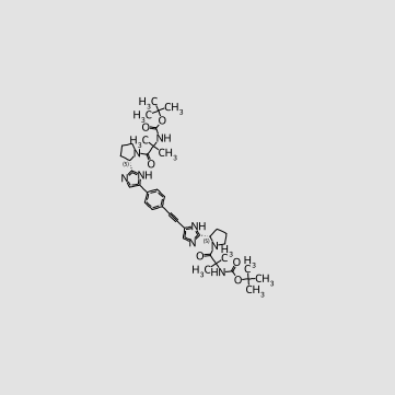 CC(C)(C)OC(=O)NC(C)(C)C(=O)N1CCC[C@H]1c1ncc(C#Cc2ccc(-c3cnc([C@@H]4CCCN4C(=O)C(C)(C)NC(=O)OC(C)(C)C)[nH]3)cc2)[nH]1